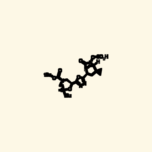 CN(C[C@H](O[Si](C)(C)C(C)(C)C)c1nnc([C@@H]2CC3(CC3)[C@@H]3CN2C(=O)N3OS(=O)(=O)O)o1)C(=O)OC(C)(C)C